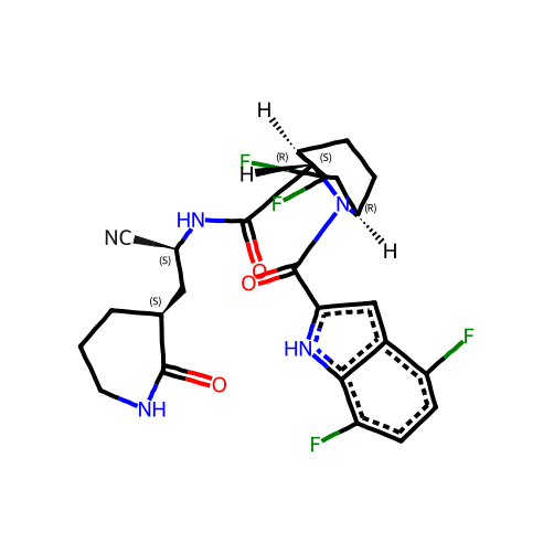 N#C[C@H](C[C@@H]1CCCNC1=O)NC(=O)[C@@H]1[C@H]2CC[C@H](CC2(F)F)N1C(=O)c1cc2c(F)ccc(F)c2[nH]1